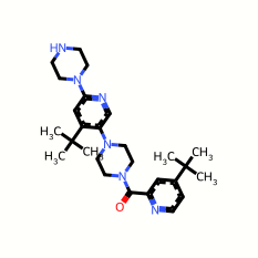 CC(C)(C)c1ccnc(C(=O)N2CCN(c3cnc(N4CCNCC4)cc3C(C)(C)C)CC2)c1